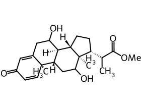 COC(=O)C(C)[C@H]1CC[C@H]2[C@@H]3C(O)CC4=CC(=O)C=C[C@]4(C)[C@H]3CC(O)[C@]12C